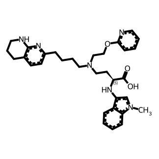 Cn1cc(N[C@@H](CCN(CCCCc2ccc3c(n2)NCCC3)CCOc2ccccn2)C(=O)O)c2ccccc21